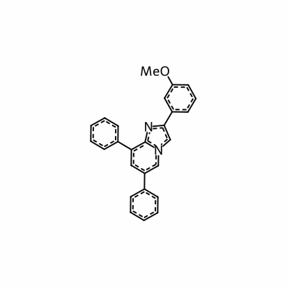 COc1cccc(-c2cn3cc(-c4ccccc4)cc(-c4ccccc4)c3n2)c1